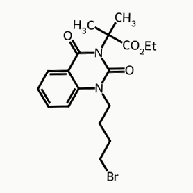 CCOC(=O)C(C)(C)n1c(=O)c2ccccc2n(CCCCBr)c1=O